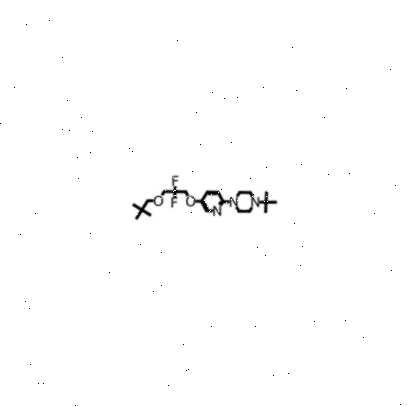 CC(C)(C)COCC(F)(F)COc1ccc(N2CCN(C(C)(C)C)CC2)nc1